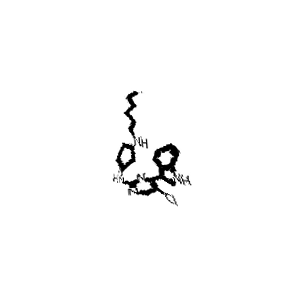 [CH2]CCCCCN[C@H]1CC[C@@H](Nc2ncc(Cl)c(-c3c[nH]c4ccccc34)n2)C1